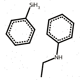 CCNc1ccccc1.[SiH3]c1ccccc1